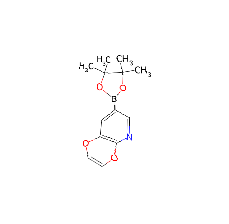 CC1(C)OB(c2cnc3c(c2)OC=CO3)OC1(C)C